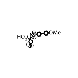 COc1ccc(-c2ccc(S(=O)(=O)N(C)C(C)(C(=O)O)C3(C)CCC4(C3)OCCO4)cc2)cc1